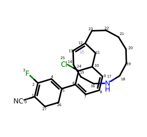 N#CC1=C(F)C=C(C2=CC=CC(C/C3=C\CCCNCCCCCC3)C2Cl)CC1